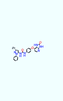 CC(C)c1cc(NC(=O)Nc2ccc(Oc3ccnc4[nH]c(=O)[nH]c34)cc2)n(-c2ccccc2)n1